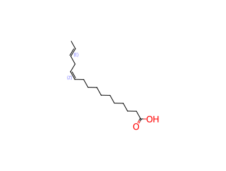 C/C=C/C/C=C\CCCCCCCCCC(=O)O